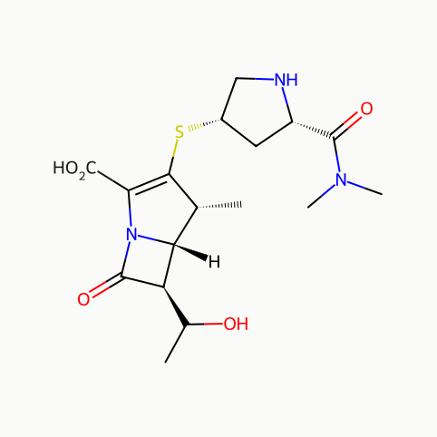 CC(O)[C@H]1C(=O)N2C(C(=O)O)=C(S[C@@H]3CN[C@H](C(=O)N(C)C)C3)[C@H](C)[C@H]12